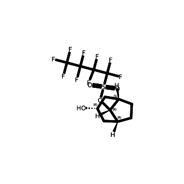 O=S(=O)(O[C@H]1[C@@H]2CC[C@H]1C[C@@H](O)C2)C(F)(F)C(F)(F)C(F)(F)C(F)(F)F